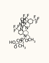 CCC1CC(N(Cc2cc(C(F)(F)F)cc(C(F)(F)F)c2)c2nnn(C)n2)c2nc(C(F)(F)F)ccc2N1C(=O)OCC(C)(C)C(=O)O